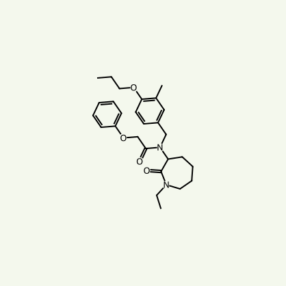 CCCOc1ccc(CN(C(=O)COc2ccccc2)C2CCCCN(CC)C2=O)cc1C